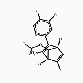 CC1=C[C@H]2C(c3cc(Cl)c(F)cn3)=C([N+](=O)[O-])[C@@H]1C2OC(F)F